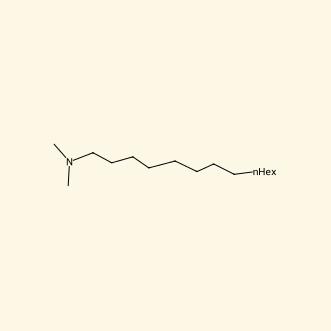 [CH2]CCCCCCCCCCCCCN(C)C